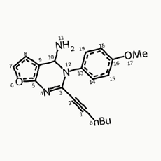 CCCCC#CC1=Nc2occc2C(N)N1c1ccc(OC)cc1